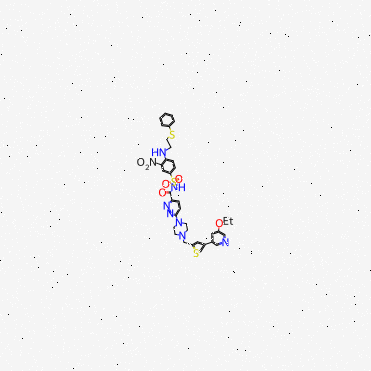 CCOc1cncc(-c2csc(CN3CCN(c4ccc(C(=O)NS(=O)(=O)c5ccc(NCCSc6ccccc6)c([N+](=O)[O-])c5)nn4)CC3)c2)c1